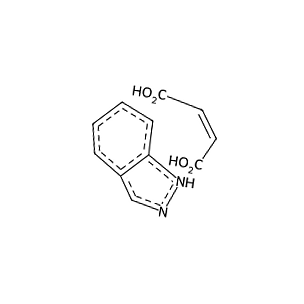 O=C(O)/C=C\C(=O)O.c1ccc2[nH]ncc2c1